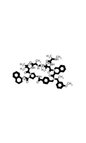 CN[C@@H](C)C(=O)N[C@H](C(=O)N1Cc2ccccc2CC1C(=O)N(Cc1ccc(C(=O)N[C@H]2C[C@@H](C(=O)N[C@@H]3CCCc4ccccc43)N(C(=O)[C@@H](NC(=O)[C@H](C)NC)C(C)(C)C)C2)cc1)[C@H](C)c1cccc(OC)c1)C(C)(C)C